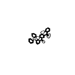 O=c1c2ccccc2oc2cc3oc4c(N(c5ccccc5)c5ccccc5)cccc4c(=O)c3cc12